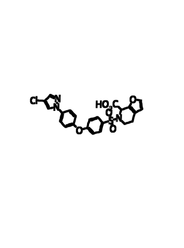 O=C(O)C1c2occc2CCN1S(=O)(=O)c1ccc(Oc2ccc(-n3cc(Cl)cn3)cc2)cc1